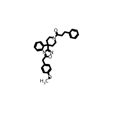 COc1ccc(Cc2nc(C3(c4ccccc4)CCN(C(=O)CCc4ccccc4)CC3)no2)cc1